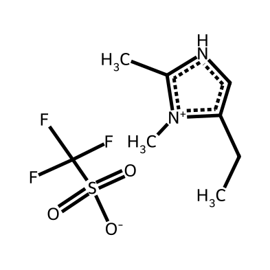 CCc1c[nH]c(C)[n+]1C.O=S(=O)([O-])C(F)(F)F